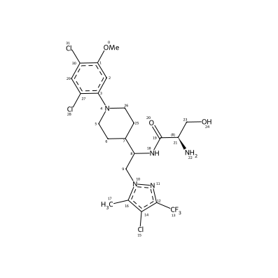 COc1cc(N2CCC(C(Cn3nc(C(F)(F)F)c(Cl)c3C)NC(=O)[C@H](N)CO)CC2)c(Cl)cc1Cl